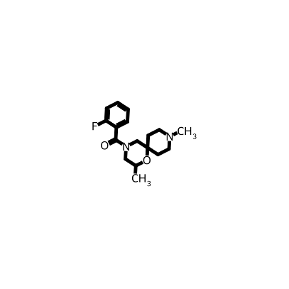 CC1CN(C(=O)c2ccccc2F)CC2(CCN(C)CC2)O1